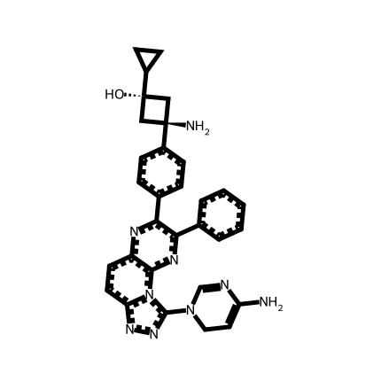 NC1=CCN(c2nnc3ccc4nc(-c5ccc([C@]6(N)C[C@@](O)(C7CC7)C6)cc5)c(-c5ccccc5)nc4n23)C=N1